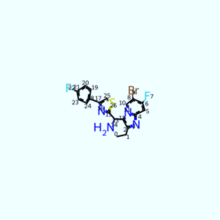 CCc1nc2cc(F)c(Br)cn2c1C(N)c1nc(-c2ccc(F)cc2)cs1